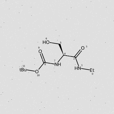 CCNC(=O)[C@H](CO)NC(=O)OC(C)(C)C